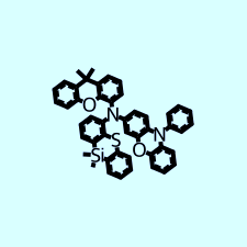 CC1(C)c2ccccc2Oc2c(N(c3ccc4c(c3)Oc3ccccc3N4c3ccccc3)c3cccc4c3Sc3ccccc3[Si]4(C)C)cccc21